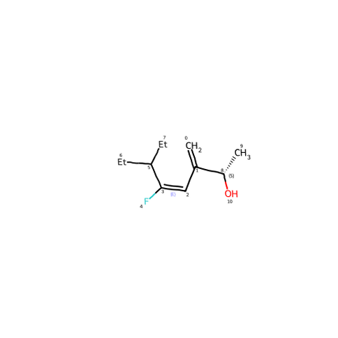 C=C(/C=C(/F)C(CC)CC)[C@H](C)O